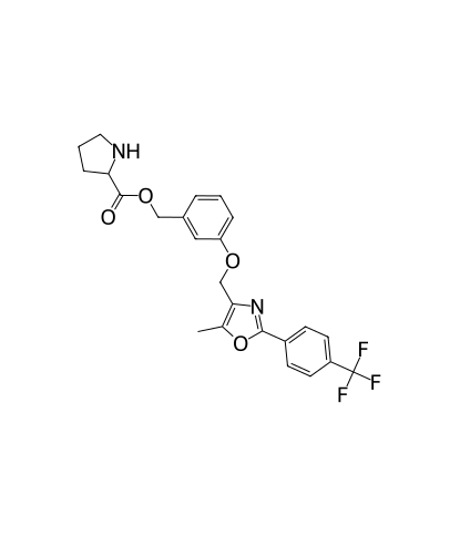 Cc1oc(-c2ccc(C(F)(F)F)cc2)nc1COc1cccc(COC(=O)C2CCCN2)c1